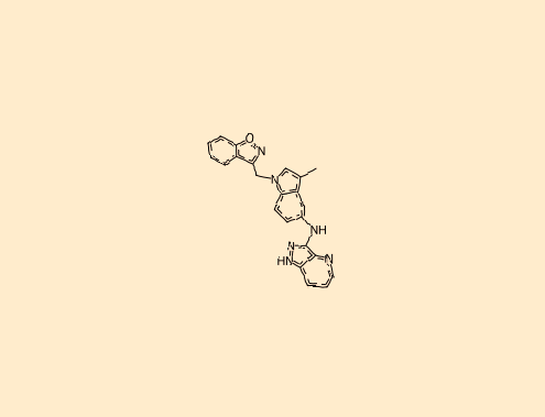 Cc1cn(Cc2noc3ccccc23)c2ccc(Nc3n[nH]c4cccnc34)cc12